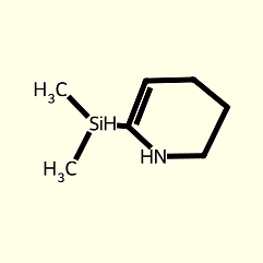 C[SiH](C)C1=CCCCN1